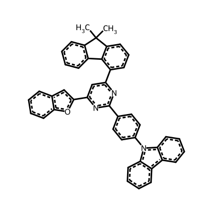 CC1(C)c2ccccc2-c2c(-c3cc(-c4cc5ccccc5o4)nc(-c4ccc(-n5c6ccccc6c6ccccc65)cc4)n3)cccc21